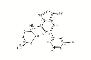 CC(C)c1cnn2c(N[C@H]3CC[C@H](O)CC3)nc(-c3cncc(F)c3)nc12